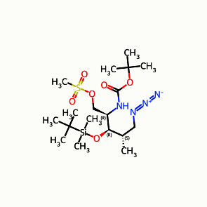 C[C@@H](CN=[N+]=[N-])[C@@H](O[Si](C)(C)C(C)(C)C)[C@@H](COS(C)(=O)=O)NC(=O)OC(C)(C)C